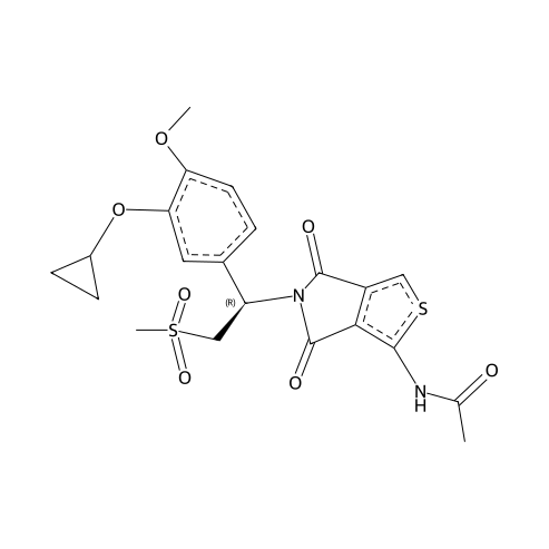 COc1ccc([C@H](CS(C)(=O)=O)N2C(=O)c3csc(NC(C)=O)c3C2=O)cc1OC1CC1